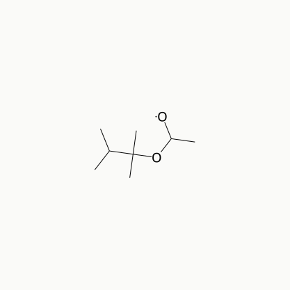 CC([O])OC(C)(C)C(C)C